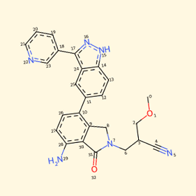 COCC(C#N)CN1Cc2c(-c3ccc4[nH]nc(-c5cccnc5)c4c3)ccc(N)c2C1=O